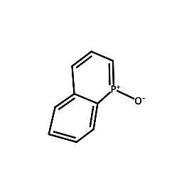 [O-][p+]1cccc2ccccc21